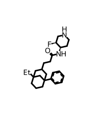 CCC12CCCC(c3ccccc3)(CC(CCC(=O)N[C@@H]3CCNC[C@@H]3F)C1)C2